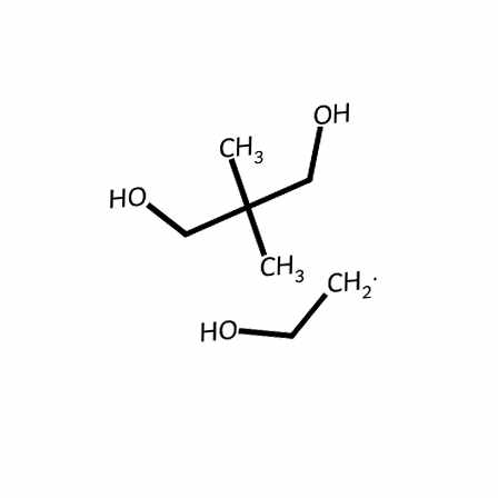 CC(C)(CO)CO.[CH2]CO